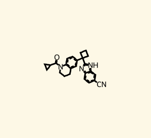 N#Cc1ccc2nc(C3(c4ccc5c(c4)CCCN5C(=O)C4CC4)CCC3)[nH]c2c1